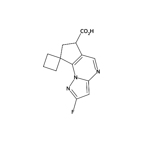 O=C(O)C1CC2(CCC2)c2c1cnc1cc(F)nn21